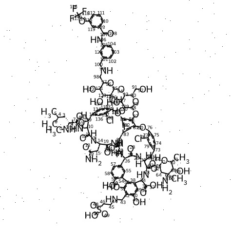 CN[C@H](CC(C)C)C(=O)NC1C(=O)NC(CC(N)=O)C(=O)N[C@H]2C(=O)N[C@H]3C(=O)N[C@H](C(=O)NC(C(=O)O)c4cc(O)c(CNCCS(=O)(=O)O)c(O)c4-c4cc3ccc4O)[C@H](O[C@H]3C[C@](C)(N)[C@@H](O)[C@H](C)O3)c3ccc(c(Cl)c3)Oc3cc2cc(c3O[C@@H]2O[C@H](CO)[C@@H](O[C@@H]3O[C@H](CNCc4cccc(NC(=O)c5cccc(OC(F)(F)F)c5)c4)[C@H](O)[C@H](O)[C@H]3O)[C@H](O)[C@H]2O)Oc2ccc(cc2Cl)[C@H]1O